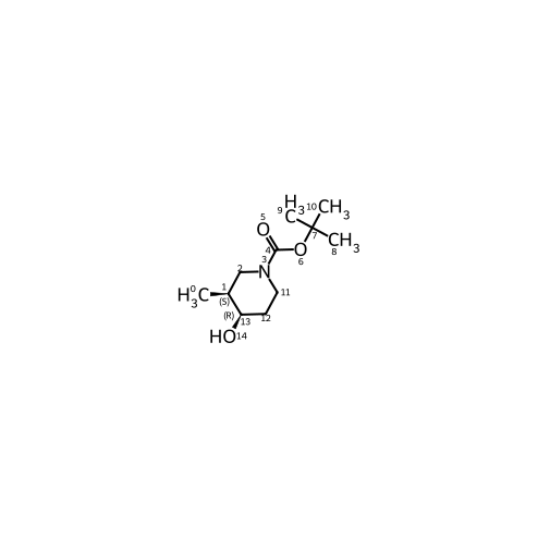 C[C@H]1CN(C(=O)OC(C)(C)C)CC[C@H]1O